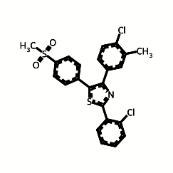 Cc1cc(-c2nc(-c3ccccc3Cl)sc2-c2ccc(S(C)(=O)=O)cc2)ccc1Cl